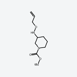 C=CCONC1CCCN(C(=O)OC(C)(C)C)C1